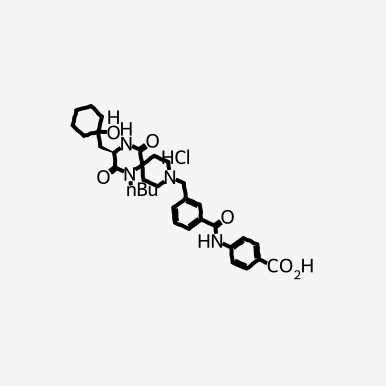 CCCCN1C(=O)[C@@H](CC2(O)CCCCC2)NC(=O)C12CCN(Cc1cccc(C(=O)Nc3ccc(C(=O)O)cc3)c1)CC2.Cl